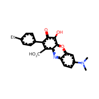 CCc1ccc(-c2c(C(=O)O)c3nc4ccc(N(C)C)cc4oc-3c(O)c2=O)cc1